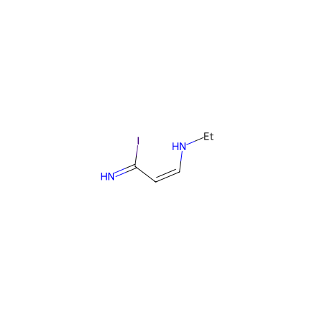 CCN/C=C\C(=N)I